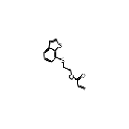 C=CC(=O)OCCSc1cccc2ccsc12